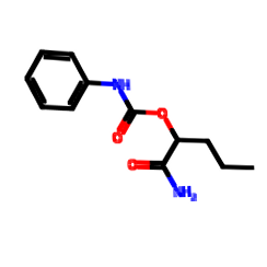 CCCC(OC(=O)Nc1ccccc1)C(N)=O